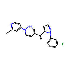 C=C(/C=C\N(N)c1ccnc(C)c1)C(=C)c1ccnn1-c1cccc(F)c1